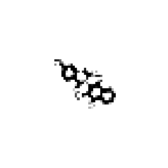 CC(=O)N(C(=O)c1ccc(Cl)cc1)C1=C(Cl)C(=O)c2ccccc2C1=O